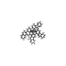 CC1(C)c2ccccc2-c2cc(-c3c(Nc4cccc5c4sc4ccccc45)ccc4c3sc3ccccc34)c3c(c21)C1Cc2c(ccc4ccccc24)-c2cccc(c21)B3